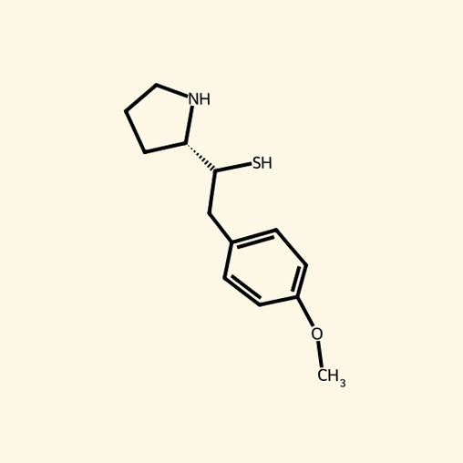 COc1ccc(CC(S)[C@@H]2CCCN2)cc1